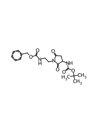 CC(C)(C)OC(=O)NC1CC(=O)N(CCNC(=O)OCc2ccccc2)C1=O